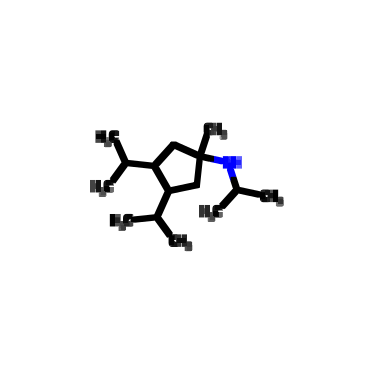 CC(C)NC1(C)CC(C(C)C)C(C(C)C)C1